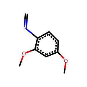 C=Nc1ccc(OC)cc1OC